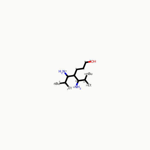 CCCCC(CC)C(N)C(CCCO)C(N)C(CC)CCCC